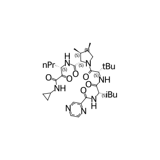 CCC[C@H](NC(=O)[C@@H]1[C@@H](C)[C@@H](C)CN1C(=O)[C@@H](NC(=O)C(NC(=O)c1cnccn1)[C@@H](C)CC)C(C)(C)C)C(=O)C(=O)NC1CC1